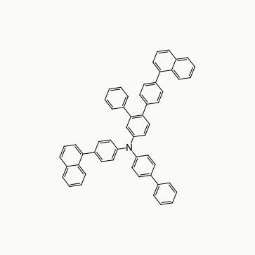 c1ccc(-c2ccc(N(c3ccc(-c4cccc5ccccc45)cc3)c3ccc(-c4ccc(-c5cccc6ccccc56)cc4)c(-c4ccccc4)c3)cc2)cc1